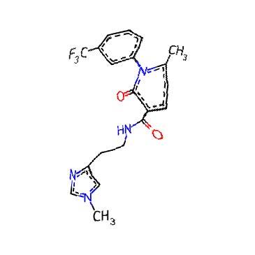 Cc1ccc(C(=O)NCCc2cn(C)cn2)c(=O)n1-c1cccc(C(F)(F)F)c1